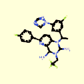 CC(c1cc(F)cc(-n2cncn2)c1)N1c2ccc(-c3ccc(F)cc3)nc2C(N)N(CC(F)(F)F)C1N